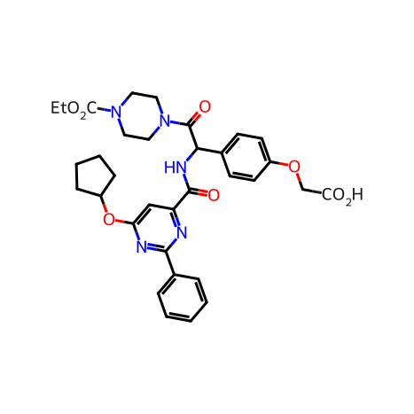 CCOC(=O)N1CCN(C(=O)C(NC(=O)c2cc(OC3CCCC3)nc(-c3ccccc3)n2)c2ccc(OCC(=O)O)cc2)CC1